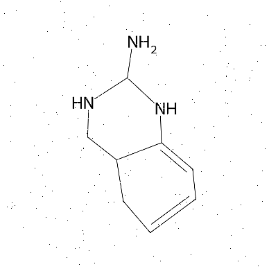 NC1NCC2CC=CC=C2N1